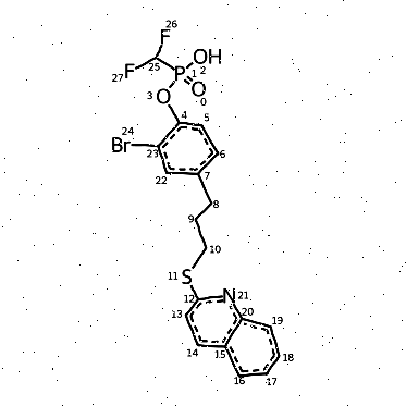 O=P(O)(Oc1ccc(CCCSc2ccc3ccccc3n2)cc1Br)C(F)F